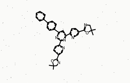 CC1(C)CN=C(c2ccc(-c3cc(-c4ccc(-c5ccccc5)cc4)nc(-c4ccc(C5=NCC(C)(C)O5)cn4)n3)nc2)O1